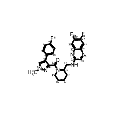 Cn1cc(-c2ccc(F)cc2)c(C(=O)N2CCCCC2CNc2cnc3cc(F)c(F)cc3n2)n1